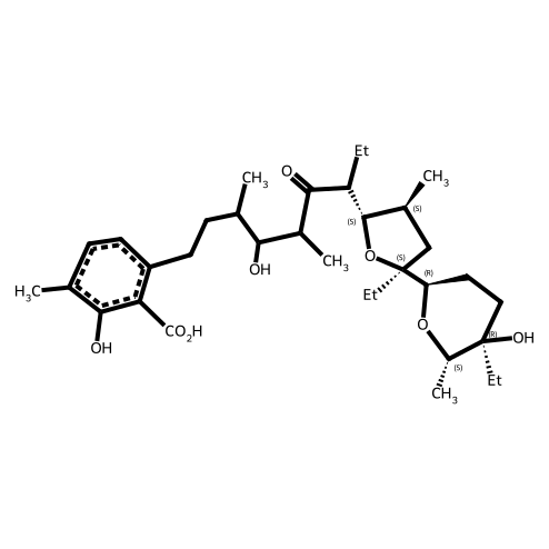 CCC(C(=O)C(C)C(O)C(C)CCc1ccc(C)c(O)c1C(=O)O)[C@H]1O[C@](CC)([C@H]2CC[C@](O)(CC)[C@H](C)O2)C[C@@H]1C